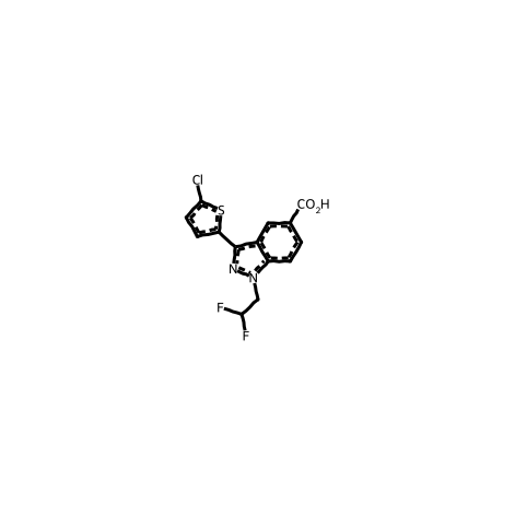 O=C(O)c1ccc2c(c1)c(-c1ccc(Cl)s1)nn2CC(F)F